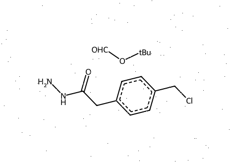 CC(C)(C)OC=O.NNC(=O)Cc1ccc(CCl)cc1